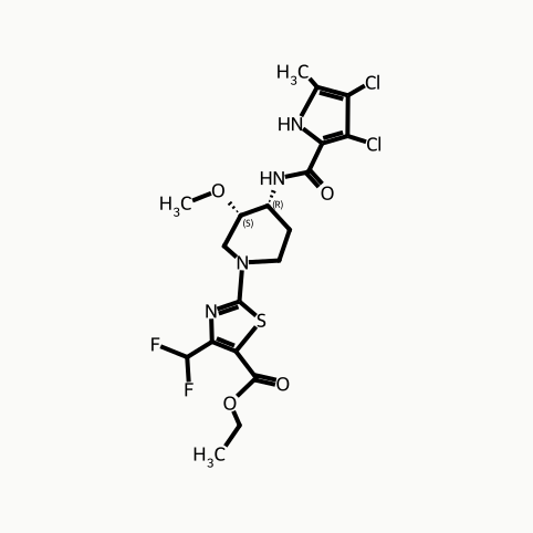 CCOC(=O)c1sc(N2CC[C@@H](NC(=O)c3[nH]c(C)c(Cl)c3Cl)[C@@H](OC)C2)nc1C(F)F